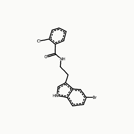 O=C(NCCc1c[nH]c2ccc(Br)cc12)c1ccccc1Cl